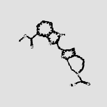 COC(=O)c1cccc2[nH]c(-c3cc4c(s3)CN(C(=O)O)CC4)nc12